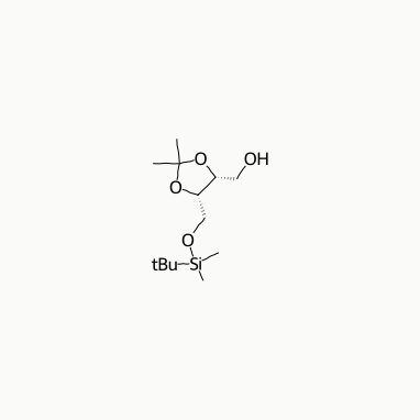 CC1(C)O[C@@H](CO[Si](C)(C)C(C)(C)C)[C@@H](CO)O1